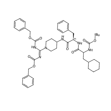 CC(C)(C)OC(=O)NC(CC1CCCCC1)C(=O)N[C@H](Cc1ccccc1)C(=O)NC1CCN(C(=NC(=O)OCc2ccccc2)NC(=O)OCc2ccccc2)CC1